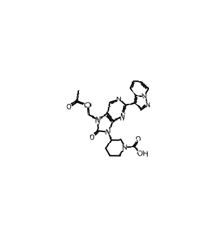 CC(=O)OCn1c(=O)n(C2CCCN(C(=O)O)C2)c2nc(-c3cnn4ccccc34)ncc21